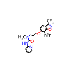 CCCc1c(OCCCN(C)C(=O)Nc2ccccn2)ccc2c(C(F)(F)F)noc12